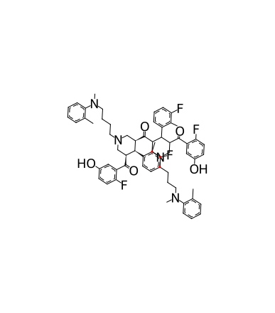 Cc1ccccc1N(C)CCCCN1CC(C(=O)c2cc(O)ccc2F)C(c2cccc(F)c2C)C(C(=O)[C@@H]2CN(CCCCN(C)c3ccccc3C)C[C@H](C(=O)c3cc(O)ccc3F)[C@@H]2c2cccc(F)c2C)C1